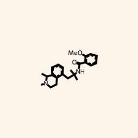 COc1ccccc1C(=O)NC(C)(C)Cc1cccc2c1CCN(C)C2C